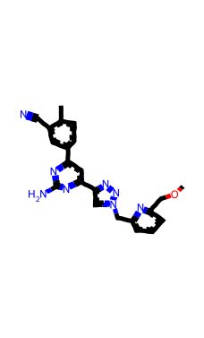 COCc1cccc(Cn2cc(-c3cc(-c4ccc(C)c(C#N)c4)nc(N)n3)nn2)n1